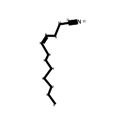 CCCCCCC/C=C\CCC#N